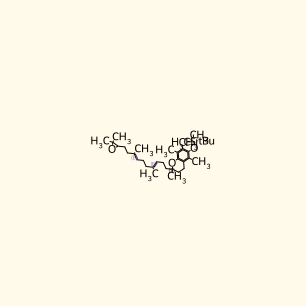 C/C(=C\CC[C@@]1(C)CCc2c(C)c(O[Si](C)(C)C(C)(C)C)c(C)c(C)c2O1)CC/C=C(\C)CCC1OC1(C)C